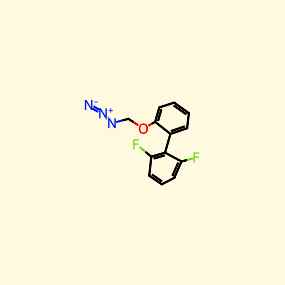 [N-]=[N+]=NCOc1ccccc1-c1c(F)cccc1F